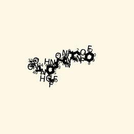 Cc1cc(Oc2c(F)cccc2F)ncc1-n1ncc(C(=O)c2cc3cc(OC(F)F)c(NC4CN(S(C)(=O)=O)C4)cc3[nH]2)c1N